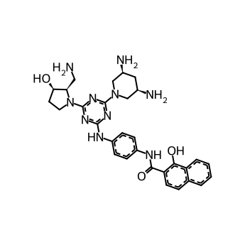 NC[C@@H]1[C@H](O)CCN1c1nc(Nc2ccc(NC(=O)c3ccc4ccccc4c3O)cc2)nc(N2C[C@H](N)C[C@H](N)C2)n1